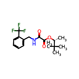 C[C@@H](OC(=O)C(=O)NCc1ccccc1C(F)(F)F)C(C)(C)C